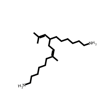 CC(C)=CC(CC=C(C)CCCCCCN)CCCCCCN